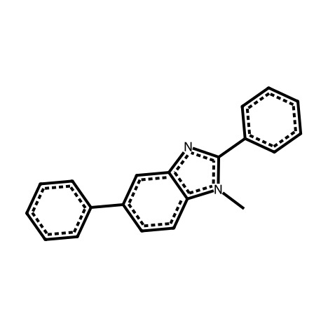 Cn1c(-c2ccccc2)nc2cc(-c3ccccc3)ccc21